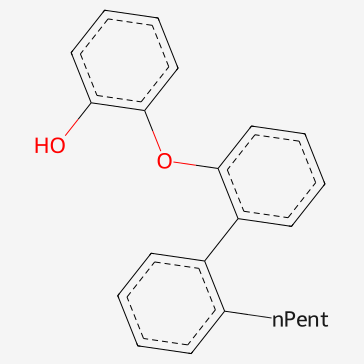 CCCCCc1ccccc1-c1ccccc1Oc1ccccc1O